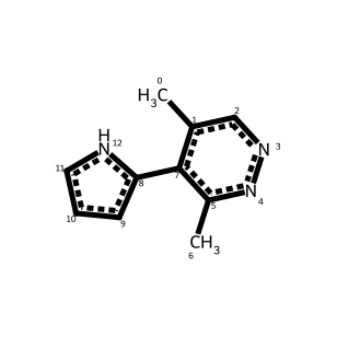 Cc1cnnc(C)c1-c1ccc[nH]1